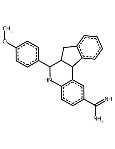 COc1ccc(C2Nc3ccc(C(=N)N)cc3C3c4ccccc4CC23)cc1